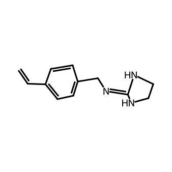 C=Cc1ccc(CN=C2NCCN2)cc1